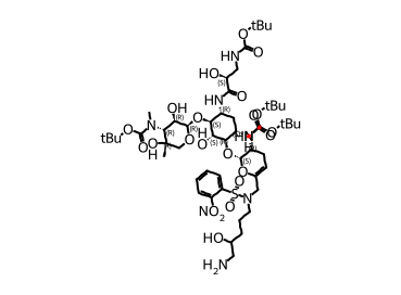 CN(C(=O)OC(C)(C)C)[C@@H]1[C@@H](O)[C@@H](O[C@@H]2[C@@H](O)[C@H](O[C@H]3OC(CN(CCCC(O)CN)S(=O)(=O)c4ccccc4[N+](=O)[O-])=CC[C@H]3NC(=O)OC(C)(C)C)[C@@H](NC(=O)OC(C)(C)C)C[C@H]2NC(=O)[C@@H](O)CNC(=O)OC(C)(C)C)OC[C@]1(C)O